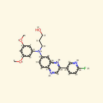 COc1cc(OC)cc(N(CCCO)c2ccc3ncc(-c4ccc(F)nc4)nc3c2)c1